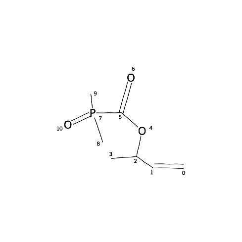 C=CC(C)OC(=O)P(C)(C)=O